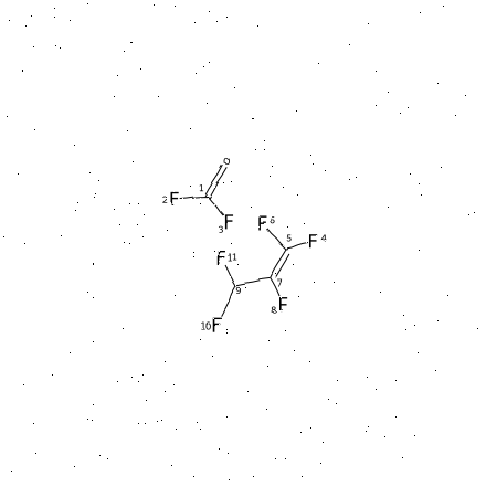 C=C(F)F.FC(F)=C(F)C(F)F